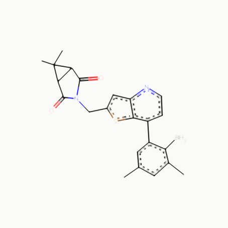 Bc1c(C)cc(C)cc1-c1ccnc2cc(CN3C(=O)C4C(C3=O)C4(C)C)sc12